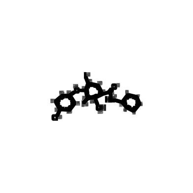 O=C(Nc1ccccc1)c1cc(I)c(Oc2ccc(Cl)cc2)c(I)c1O